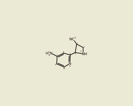 N#CC1CNC1c1cc(N)ccn1